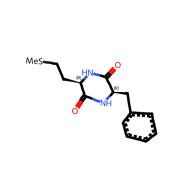 CSCC[C@H]1NC(=O)[C@@H](Cc2ccccc2)NC1=O